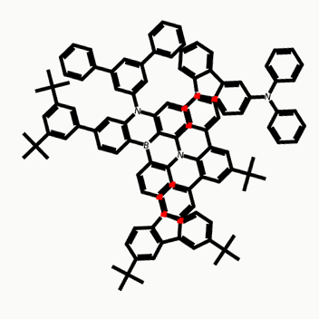 CC(C)(C)c1cc(-c2ccc3c(c2)N(c2cc(-c4ccccc4)cc(-c4ccccc4)c2)c2cc(-n4c5ccccc5c5cc(N(c6ccccc6)c6ccccc6)ccc54)cc4c2B3c2ccc(-n3c5ccc(C(C)(C)C)cc5c5cc(C(C)(C)C)ccc53)cc2N4c2c(-c3ccccc3)cc(C(C)(C)C)cc2-c2ccccc2)cc(C(C)(C)C)c1